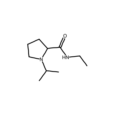 CCNC(=O)C1CCCN1C(C)C